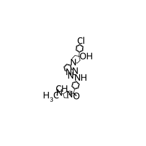 CN(C)C1CCN(C(=O)c2ccc(Nc3nc4c(N5CCC(O)(c6ccc(Cl)cc6)CC5)cccn4n3)cc2)C1